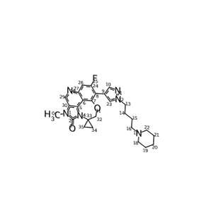 Cn1c(=O)n2c3c4c(c(-c5cnn(CCCCN6CCCCC6)c5)c(F)cc4ncc31)OCC21CC1